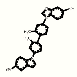 CCCc1ccc2c(ccn2-c2ccc(-c3ccc(-n4cnc5cc(CCC)ccc54)cc3C)c(C)c2)c1